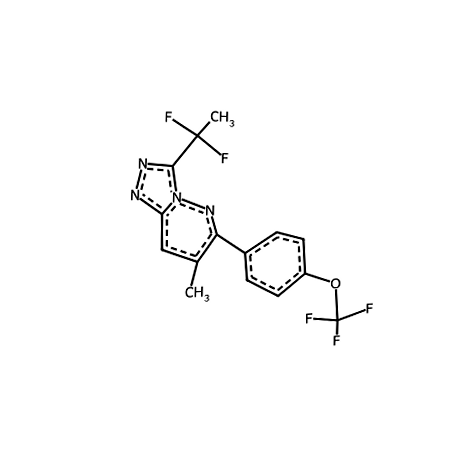 Cc1cc2nnc(C(C)(F)F)n2nc1-c1ccc(OC(F)(F)F)cc1